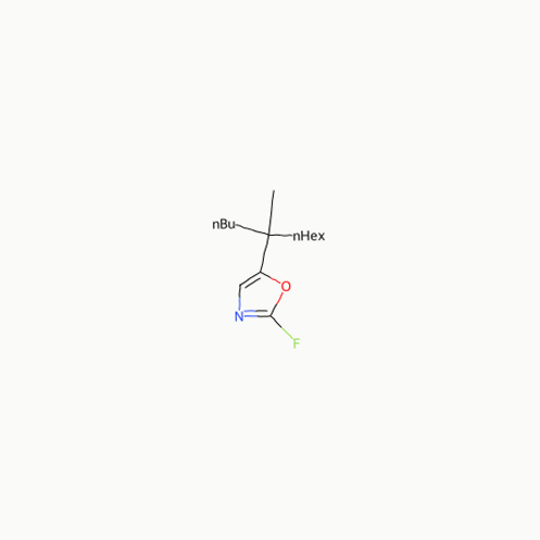 CCCCCCC(C)(CCCC)c1cnc(F)o1